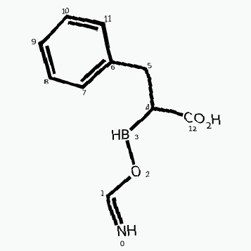 N=COBC(Cc1ccccc1)C(=O)O